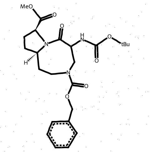 COC(=O)[C@@H]1CC[C@@H]2CCN(C(=O)OCc3ccccc3)CC(NC(=O)OC(C)(C)C)C(=O)N21